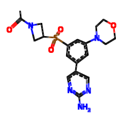 CC(=O)N1CC(S(=O)(=O)c2cc(-c3cnc(N)nc3)cc(N3CCOCC3)c2)C1